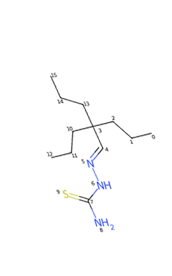 CCCC(C=NNC(N)=S)(CCC)CCC